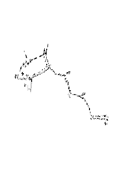 C=CCCCc1ncc[nH]1